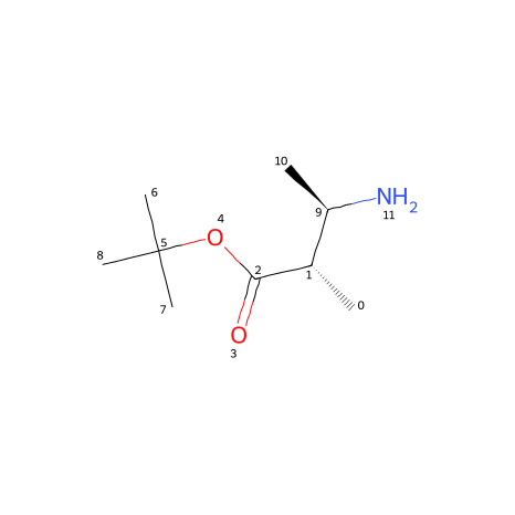 C[C@H](C(=O)OC(C)(C)C)[C@@H](C)N